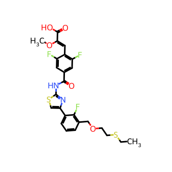 CCSCCOCc1cccc(-c2csc(NC(=O)c3cc(F)c(/C=C(\OC)C(=O)O)c(F)c3)n2)c1F